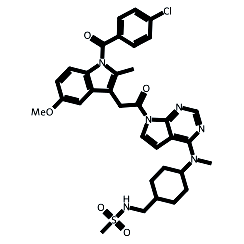 COc1ccc2c(c1)c(CC(=O)n1ccc3c(N(C)C4CCC(CNS(C)(=O)=O)CC4)ncnc31)c(C)n2C(=O)c1ccc(Cl)cc1